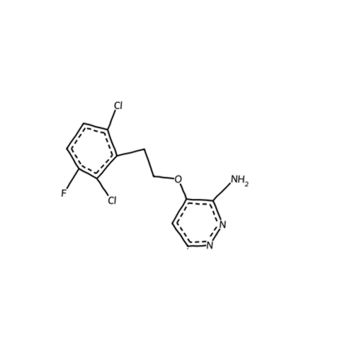 Nc1nn[c]cc1OCCc1c(Cl)ccc(F)c1Cl